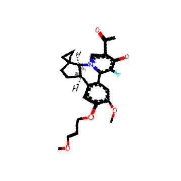 COCCCOc1cc2c(cc1OC)-c1c(F)c(=O)c(C(C)=O)cn1[C@H]1[C@@H]2CCC12CC2